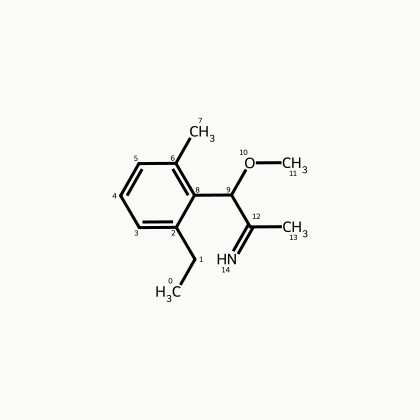 CCc1cccc(C)c1C(OC)C(C)=N